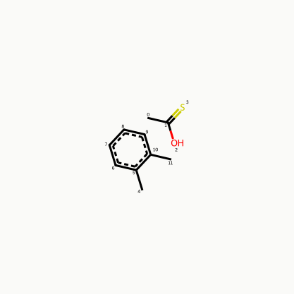 CC(O)=S.Cc1ccccc1C